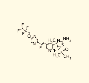 CN(C)C(=O)[C@]12CC1[C@@](C)(c1cc(/C=C(\F)c3cnc(OCC(F)(F)C(F)F)cn3)cnc1F)N=C(N)S2